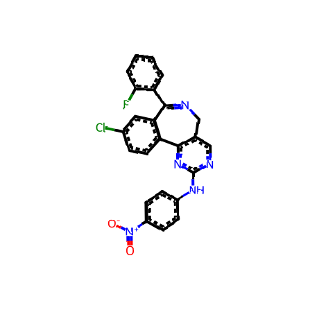 O=[N+]([O-])c1ccc(Nc2ncc3c(n2)-c2ccc(Cl)cc2C(c2ccccc2F)=NC3)cc1